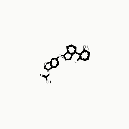 Cc1cccc(Cl)c1-c1cccc2c1CC[C@H]2Oc1ccc2c(c1)OC[C@H]2CC(=O)O